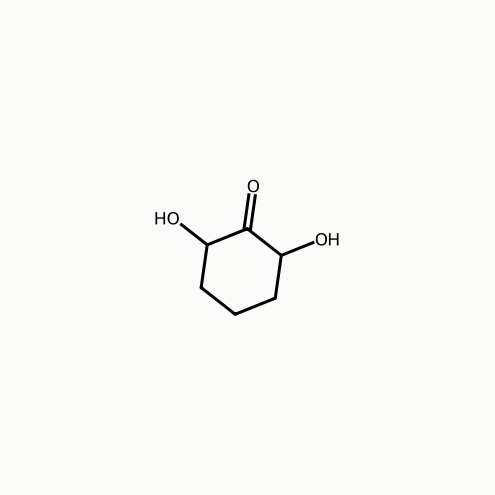 O=C1C(O)CCCC1O